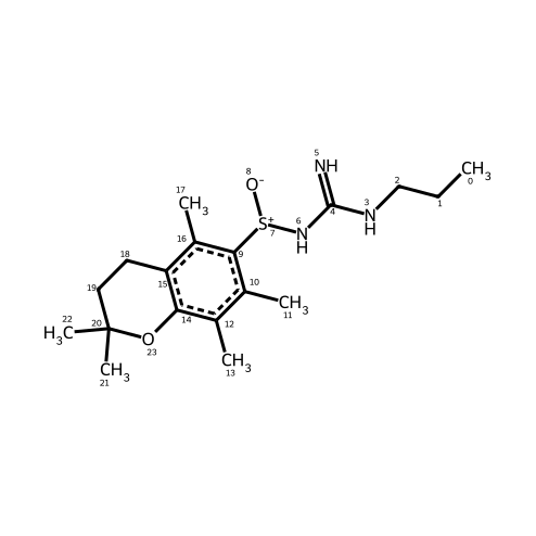 CCCNC(=N)N[S+]([O-])c1c(C)c(C)c2c(c1C)CCC(C)(C)O2